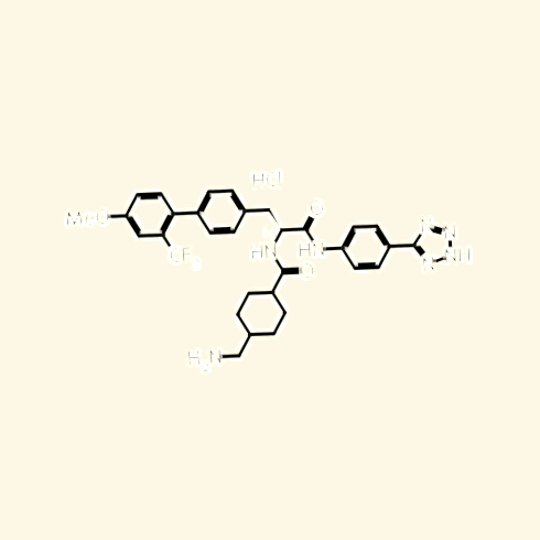 COc1ccc(-c2ccc(C[C@H](NC(=O)C3CCC(CN)CC3)C(=O)Nc3ccc(-c4nn[nH]n4)cc3)cc2)c(C(F)(F)F)c1.Cl